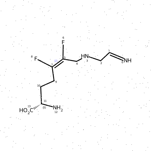 N=CCNC/C(F)=C(/F)CC[C@H](N)C(=O)O